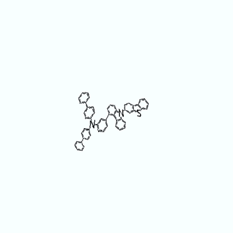 c1ccc(-c2ccc(N(c3ccc(-c4ccccc4)cc3)c3cccc(-c4cccc5c4c4ccccc4n5-c4ccc5c(c4)sc4ccccc45)c3)cc2)cc1